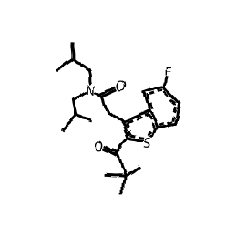 CC(C)CN(CC(C)C)C(=O)Cc1c(C(=O)C(C)(C)C)sc2ccc(F)cc12